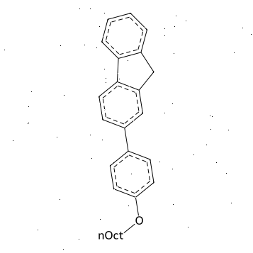 CCCCCCCCOc1ccc(-c2ccc3c(c2)Cc2ccccc2-3)cc1